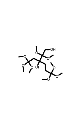 COC(CCC(O)(CC(OC)(OC)OC)C(CO)(OC)OC)(OC)OC